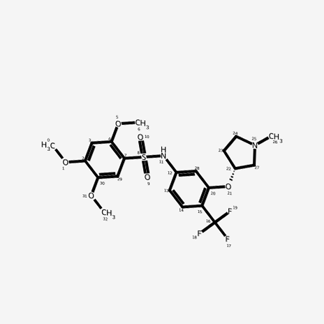 COc1cc(OC)c(S(=O)(=O)Nc2ccc(C(F)(F)F)c(O[C@@H]3CCN(C)C3)c2)cc1OC